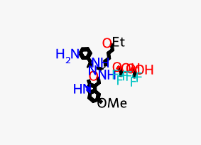 CCC(=O)CCCCC[C@H](NC(=O)Cc1c(C)[nH]c2ccc(OC)cc12)c1ncc(-c2cccc(N)c2)[nH]1.O=C(O)C(F)(F)F.O=C(O)C(F)(F)F